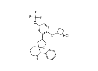 Cl.FC(F)(F)Oc1ccc(OC2CCC2)c([C@H]2CO[C@]3(CCCN[C@H]3c3ccccc3)C2)c1